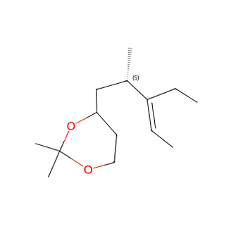 CC=C(CC)[C@@H](C)CC1CCOC(C)(C)O1